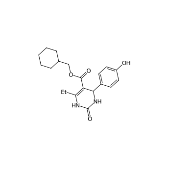 CCC1=C(C(=O)OCC2CCCCC2)C(c2ccc(O)cc2)NC(=O)N1